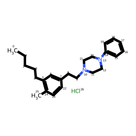 CCCCCc1cc(CCN2CCN(c3ccccc3)CC2)ccc1C.Cl